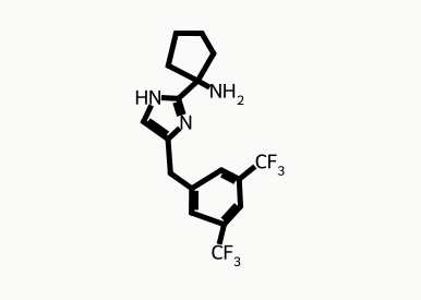 NC1(c2nc(Cc3cc(C(F)(F)F)cc(C(F)(F)F)c3)c[nH]2)CCCC1